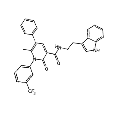 Cc1c(-c2ccccc2)cc(C(=O)NCCc2c[nH]c3ccccc23)c(=O)n1-c1cccc(C(F)(F)F)c1